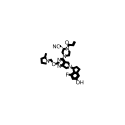 C=CC(=O)N1CCN(c2nc(OCN3CCCC3C)nc3c2CN(C2CCc4cc(O)cc(F)c42)C3)C[C@@H]1CC#N